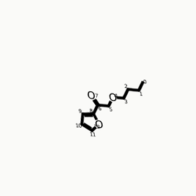 CCCCOCC(=O)c1ccco1